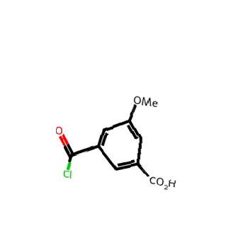 COc1cc(C(=O)O)cc(C(=O)Cl)c1